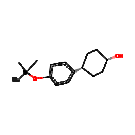 CC(C)(C)[Si](C)(C)Oc1ccc([C@H]2CC[C@@H](O)CC2)cc1